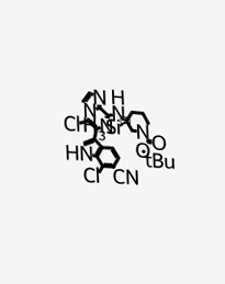 CC(C)(C)OC(=O)N1CCC[C@@]([SiH3])(Nc2nc(-c3c[nH]c4c(Cl)c(C#N)ccc34)c(Cl)n3ccnc23)C1